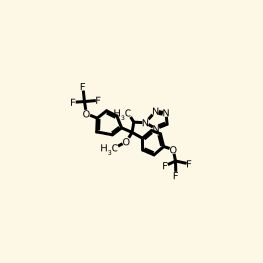 COC(c1ccc(OC(F)(F)F)cc1)(c1ccc(OC(F)(F)F)cc1)C(C)n1ncnn1